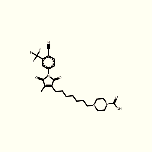 CC1=C(CCCCCCCN2CCN(C(=O)O)CC2)C(=O)N(c2ccc(C#N)c(C(F)(F)F)c2)C1=O